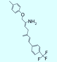 C=C(/C=C/c1ccc(C(F)(F)F)cc1)C/C=C(\N)COc1ccc(C)cc1